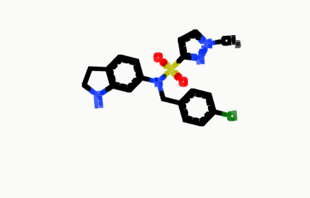 Cn1ccc(S(=O)(=O)N(Cc2ccc(Cl)cc2)c2ccc3c(c2)NCC3)n1